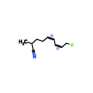 CC(C#N)CC/C=C\C=C/CF